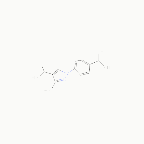 Cc1nn(-c2ccc(C(C)C)cc2)cc1C(C)C